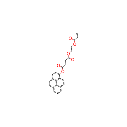 C=CC(=O)OCCOC(=O)CCC(=O)Oc1ccc2ccc3cccc4ccc1c2c34